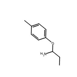 CCC(N)Oc1ccc(C)cc1